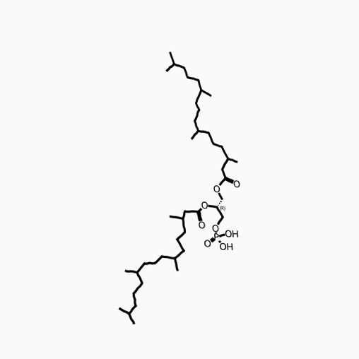 CC(C)CCCC(C)CCCC(C)CCCC(C)CC(=O)OC[C@H](COP(=O)(O)O)OC(=O)CC(C)CCCC(C)CCCC(C)CCCC(C)C